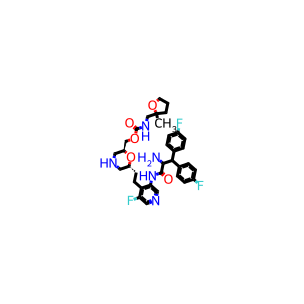 CC1(CNC(=O)OC[C@@H]2CNC[C@@H](CCc3c(F)cncc3NC(=O)C(N)C(c3ccc(F)cc3)c3ccc(F)cc3)O2)CCCO1